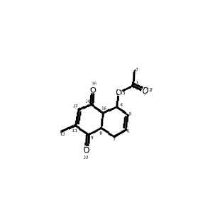 CC(=O)OC1C=CCC2C(=O)C(C)=CC(=O)C12